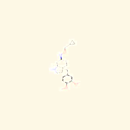 COc1ccc(C[C@@]23CCN[C@H]2CC(=NOCC2CC2)CC3)cc1OC